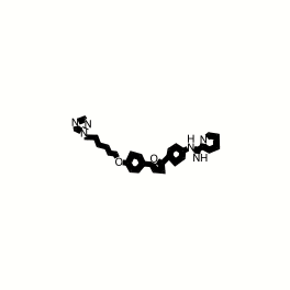 N=C(Nc1ccc(-c2ccc(-c3ccc(OCCCCCCn4cncn4)cc3)o2)cc1)c1ccccn1